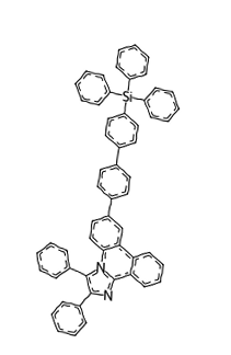 c1ccc(-c2nc3c4ccccc4c4cc(-c5ccc(-c6ccc([Si](c7ccccc7)(c7ccccc7)c7ccccc7)cc6)cc5)ccc4n3c2-c2ccccc2)cc1